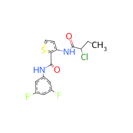 CCC(Cl)C(=O)Nc1ccsc1C(=O)Nc1cc(F)cc(F)c1